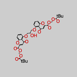 CC(C)(C)C(=O)OCOC(=O)c1cc(=O)c2c(OCC(O)COc3cccc4oc(C(=O)OCOC(=O)C(C)(C)C)cc(=O)c34)cccc2o1